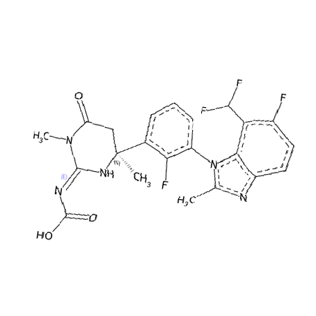 Cc1nc2ccc(F)c(C(F)F)c2n1-c1cccc([C@]2(C)CC(=O)N(C)/C(=N/C(=O)O)N2)c1F